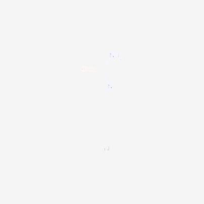 CCCCCC[N]C(N)=O